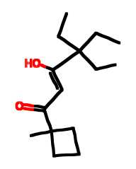 CCC(CC)(CC)/C(O)=C/C(=O)C1(C)CCC1